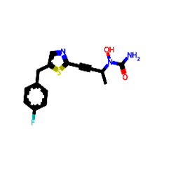 CC(C#Cc1ncc(Cc2ccc(F)cc2)s1)N(O)C(N)=O